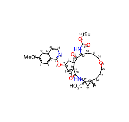 COc1ccc2c(O[C@H]3CC4C(=O)[C@@H](NC(=O)OC(C)(C)C)CCCOCCC[C@@H]5C[C@@]5(C(=O)O)NC(=O)[C@@H]4C3)nccc2c1